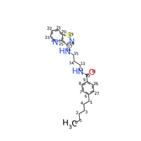 CCCCCCc1ccc(C(=O)NCCCNc2nsc3cccnc23)cc1